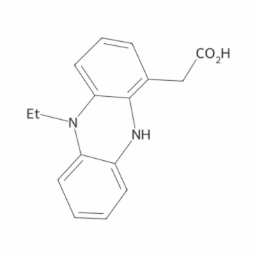 CCN1c2ccccc2Nc2c(CC(=O)O)cccc21